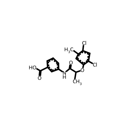 Cc1cc(OC(C)C(=O)Nc2cccc(C(=O)O)c2)c(Cl)cc1Cl